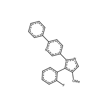 COc1cnn(-c2ccc(-c3ccccc3)nc2)c1-c1ccccc1F